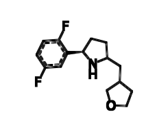 Fc1ccc(F)c([C@H]2CCC(CC3CCOC3)N2)c1